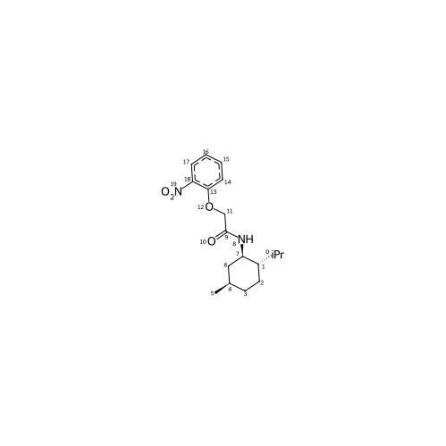 CC(C)[C@@H]1CC[C@@H](C)C[C@H]1NC(=O)COc1ccccc1[N+](=O)[O-]